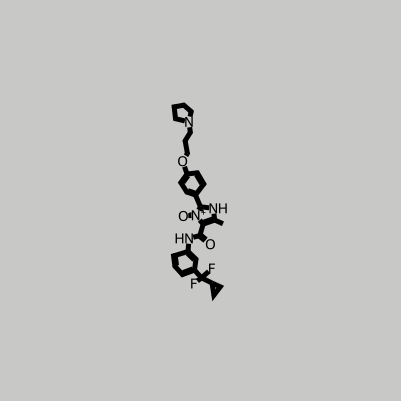 Cc1[nH]c(-c2ccc(OCCCN3CCCC3)cc2)[n+]([O-])c1C(=O)Nc1cccc(C(F)(F)C2CC2)c1